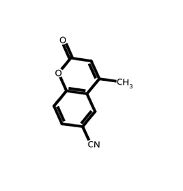 Cc1cc(=O)oc2ccc(C#N)cc12